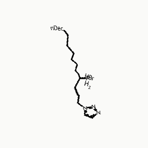 Br.CCCCCCCCCCCCCCCCC(P)CCCn1ccnn1